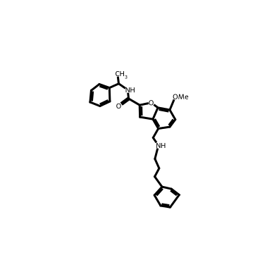 COc1ccc(CNCCCc2ccccc2)c2cc(C(=O)NC(C)c3ccccc3)oc12